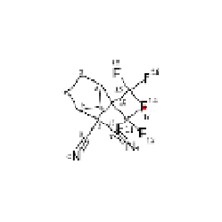 N#CC1(C#N)C2CCC(C2)C1(C(F)(F)F)C(F)(F)F